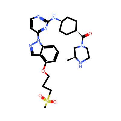 C[C@H]1CN(C(=O)[C@H]2CC[C@H](Nc3nccc(-n4ncc5c(OCCCS(C)(=O)=O)cccc54)n3)CC2)CCN1